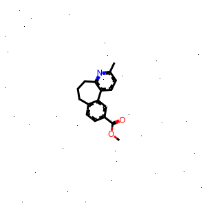 COC(=O)c1ccc2c(c1)-c1ccc(C)nc1CCC2